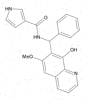 COc1cc2cccnc2c(O)c1C(NC(=O)c1cc[nH]c1)c1ccccc1